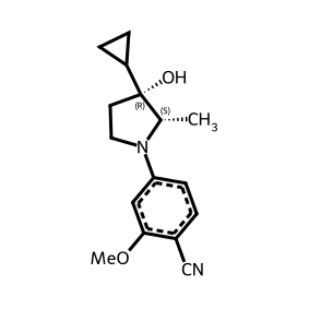 COc1cc(N2CC[C@@](O)(C3CC3)[C@@H]2C)ccc1C#N